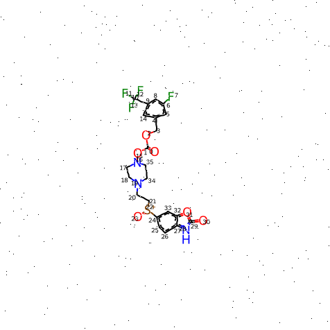 O=C(OCc1cc(F)cc(C(F)(F)F)c1)ON1CCN(CC[S+]([O-])c2ccc3[nH]c(=O)oc3c2)CC1